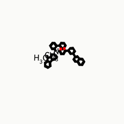 CC1(C)c2ccccc2-c2ccc(N(c3ccc(-c4cccc(-c5ccc6ccccc6c5)c4)cc3)c3ccccc3-c3ccccc3)cc21